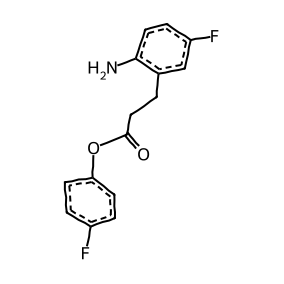 Nc1ccc(F)cc1CCC(=O)Oc1ccc(F)cc1